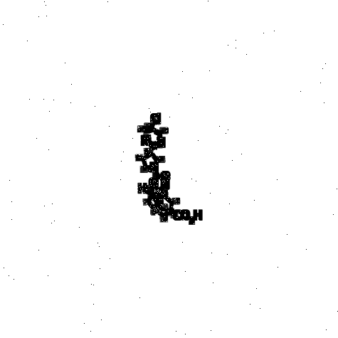 O=C(O[C@@H]1C2CC3C[C@H]1C[C@](C(=O)O)(C3)C2)N1CCC(c2ncc(Cl)cn2)C1